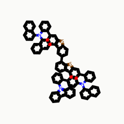 c1ccc(N(c2ccc(-c3ccccc3-n3c4ccccc4c4ccccc43)cc2)c2cccc3ccccc23)c(-c2ccc3c(c2)sc2c(-c4ccc5sc6cc(-c7ccccc7N(c7cccc8ccccc78)c7cccc8ccccc78)ccc6c5c4)cccc23)c1